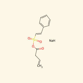 C=CCC(=O)OS(=O)(=O)C=Cc1ccccc1.[NaH]